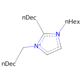 CCCCCCCCCCC[n+]1ccn(CCCCCC)c1CCCCCCCCCC